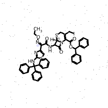 CCO/N=C(\C(=O)NC1C(=O)N2C(C(=O)OC(c3ccccc3)c3ccccc3)=C(CI)CS[C@@H]12)c1csc(NC(c2ccccc2)(c2ccccc2)c2ccccc2)n1